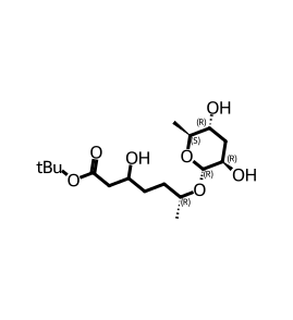 C[C@H](CCC(O)CC(=O)OC(C)(C)C)O[C@@H]1O[C@@H](C)[C@H](O)C[C@H]1O